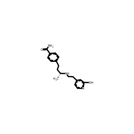 C[C@H](CCc1ccc(C(N)=O)cc1)NCCc1ccnc(O)c1